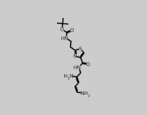 CC(C)(C)OC(=O)NCCc1nc(C(=O)NC/C(N)=C/C=C\N)cs1